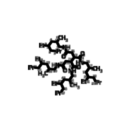 CCC(CC(C)C)CC(C)CNC(=O)CC(C(=O)NCC(C)CC(CC)CC(C)C)C(CC(=O)NCC(C)CC(CC)CC(C)C)C(=O)NCC(C)CC(CC)CC(C)C